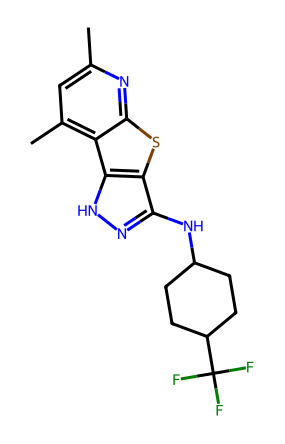 Cc1cc(C)c2c(n1)sc1c(NC3CCC(C(F)(F)F)CC3)n[nH]c12